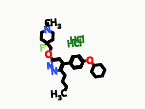 CCCCc1nnc(OCC2(F)CCN(C)CC2)cc1-c1ccc(OC2CCCCC2)cc1.Cl.Cl